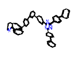 c1ccc(-c2ccc(-c3nc(-c4ccc(-c5ccccc5)cc4)nc(-c4ccc(-c5cccc(-c6ccc(-c7cc8cccnc8c8ccccc78)cc6)c5)cc4)n3)cc2)cc1